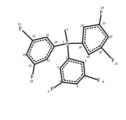 CS(c1cc(F)cc(F)c1)(c1cc(F)cc(F)c1)c1cc(F)cc(F)c1